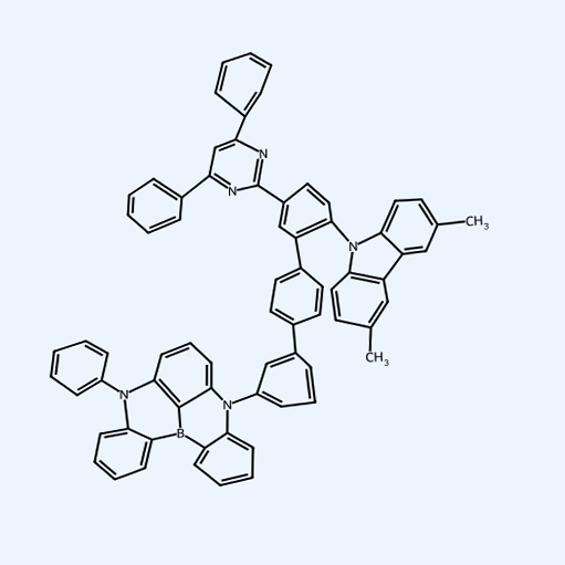 Cc1ccc2c(c1)c1cc(C)ccc1n2-c1ccc(-c2nc(-c3ccccc3)cc(-c3ccccc3)n2)cc1-c1ccc(-c2cccc(N3c4ccccc4B4c5ccccc5N(c5ccccc5)c5cccc3c54)c2)cc1